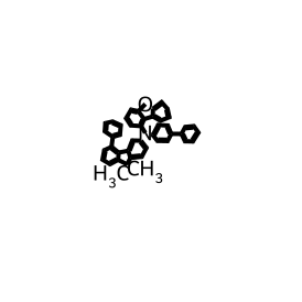 CC1(C)c2ccc(N(c3ccc(-c4ccccc4)cc3)c3cccc4oc5ccccc5c34)cc2-c2c(-c3ccccc3)cccc21